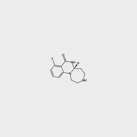 O=C1N[C@@H]2CCNCCN2c2cccc(F)c21